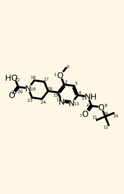 COc1cc(NC(=O)OC(C)(C)C)nnc1C1CCN(C(=O)O)CC1